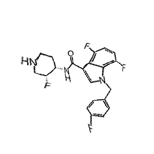 O=C(N[C@H]1CCNC[C@H]1F)c1cn(Cc2ccc(F)cc2)c2c(F)ccc(F)c12